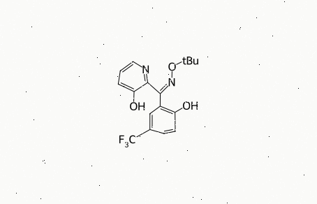 CC(C)(C)O/N=C(/c1cc(C(F)(F)F)ccc1O)c1ncccc1O